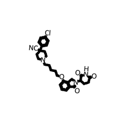 N#CC1(c2ccc(Cl)cc2)CCN(CCCCCOc2cccc3c2CN(C2CCC(=O)NC2=O)C3=O)CC1